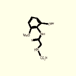 COc1cccc(OC)c1NC(=S)CNC(=O)O